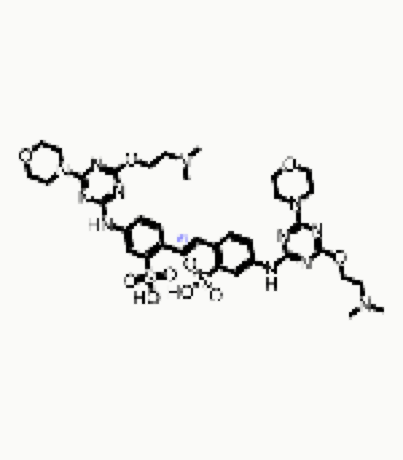 CN(C)CCOc1nc(Nc2ccc(/C=C/c3ccc(Nc4nc(OCCN(C)C)nc(N5CCOCC5)n4)cc3S(=O)(=O)O)c(S(=O)(=O)O)c2)nc(N2CCOCC2)n1